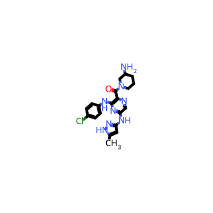 Cc1cc(Nc2cnc(C(=O)N3CCCC(N)C3)c(Nc3ccc(Cl)cc3)n2)n[nH]1